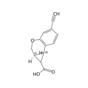 C#Cc1ccc2c(c1)OC[C@@H]1C(C(=O)O)[C@H]21